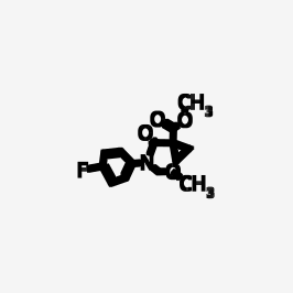 COCN(C(=O)C1(C(=O)OC)CC1)c1ccc(F)cc1